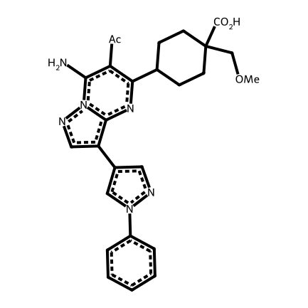 COCC1(C(=O)O)CCC(c2nc3c(-c4cnn(-c5ccccc5)c4)cnn3c(N)c2C(C)=O)CC1